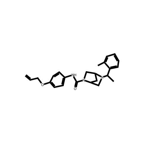 C=CCOc1ccc(NC(=O)N2CC3CC2CN3C(C)c2ccccc2C)cc1